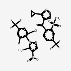 CS(=O)(=O)c1cc(C(F)(F)F)ccc1C(=O)c1cnoc1C1CC1.Nc1c([N+](=O)[O-])cnn1-c1c(Cl)cc(C(F)(F)F)cc1Cl